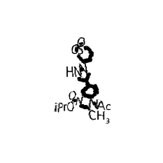 CC(=O)N1c2ccc(C3CNN(C4CCCS(=O)(=O)C4)C3)cc2N(C(=O)OC(C)C)C[C@@H]1C